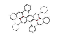 c1ccc(-c2c3ccc(N4CCCCC4)cc3c(-c3ccccc3-c3ccc4ccccc4c3)c3ccc(N4CCCCC4)cc23)c(-c2ccc3ccccc3c2)c1